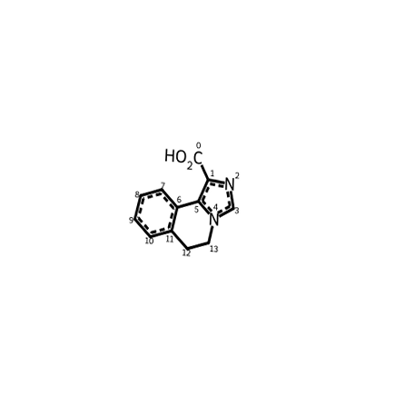 O=C(O)c1ncn2c1-c1ccccc1CC2